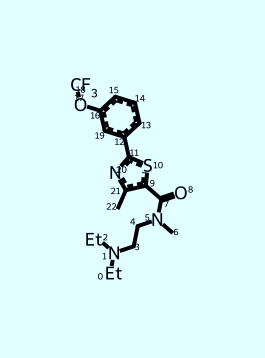 CCN(CC)CCN(C)C(=O)c1sc(-c2cccc(OC(F)(F)F)c2)nc1C